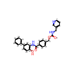 O=C(NCc1cccnc1)OCc1ccc(C(=O)Nc2cc(-c3ccccc3)ccc2O)cc1